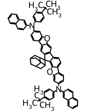 CC(C)(C)c1ccc(N(c2ccc3ccccc3c2)c2ccc3c(c2)oc2cc4c(cc23)C2(c3c-4ccc4c3oc3cc(N(c5ccc(C(C)(C)C)cc5)c5ccc6ccccc6c5)ccc34)C3CC4CC(C3)CC2C4)cc1